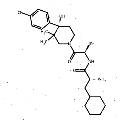 CC(C)[C@@H](NC(=O)[C@H](N)CC1CCCCC1)C(=O)N1CC[C@](O)(c2ccc(Cl)cc2)C(C)(C)C1